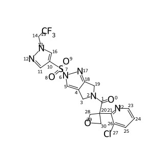 O=C(N1Cc2cn(S(=O)(=O)c3cnn(CC(F)(F)F)c3)nc2C1)C1(c2ncccc2Cl)COC1